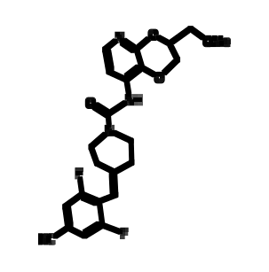 COCC1COc2c(NC(=O)N3CCC(=Cc4c(F)cc(C#N)cc4F)CC3)ccnc2O1